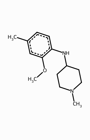 COc1cc(C)ccc1NC1CCN(C)CC1